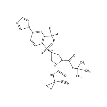 CC(C)(C)OC(=O)N1C[C@H](S(=O)(=O)c2ccc(-n3ccnc3)cc2C(F)(F)F)C[C@H]1C(=O)NC1(C#N)CC1